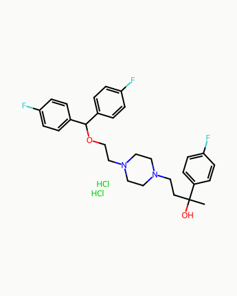 CC(O)(CCN1CCN(CCOC(c2ccc(F)cc2)c2ccc(F)cc2)CC1)c1ccc(F)cc1.Cl.Cl